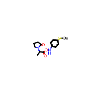 CCC(C)Sc1ccc(NOC(=O)C(C)N2CCCC2=O)cc1